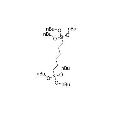 CCCCO[Si](CCCCCC[Si](OCCCC)(OCCCC)OCCCC)(OCCCC)OCCCC